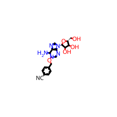 N#Cc1ccc(CON2C=Nc3c(ncn3[C@@H]3O[C@H](CO)C(O)C3O)C2N)cc1